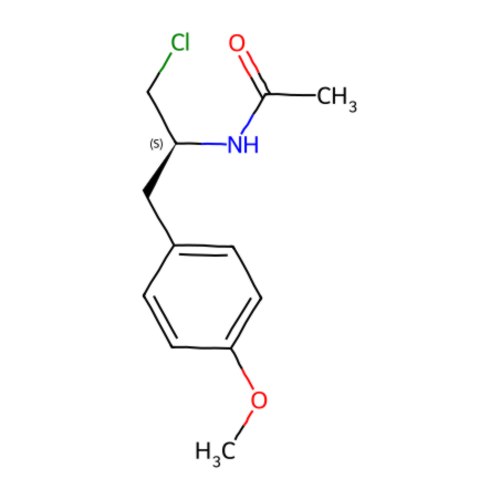 COc1ccc(C[C@@H](CCl)NC(C)=O)cc1